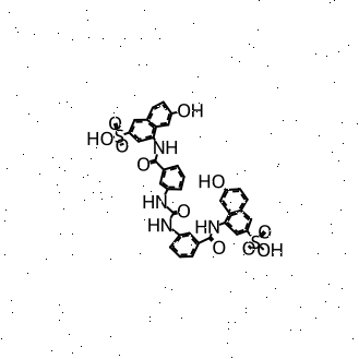 O=C(Nc1cccc(C(=O)Nc2cc(S(=O)(=O)O)cc3ccc(O)cc23)c1)Nc1cccc(C(=O)Nc2cc(S(=O)(=O)O)cc3ccc(O)cc23)c1